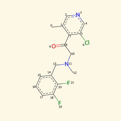 Cc1cncc(Cl)c1C(=O)CN(C)Cc1cccc(F)c1F